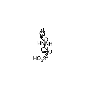 CN1CCN(CC(=O)NC(=N)C2CCC3CN2C(=O)N3OS(=O)(=O)O)CC1